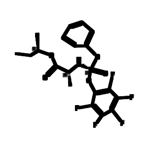 CC[C@@H](C)OC(=O)[C@@H](C)N[P@@](=O)(Oc1ccccc1)Oc1c(F)c(F)c(F)c(F)c1F